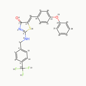 O=C1N=C(NCc2ccc(C(F)(F)F)cc2)SC1=Cc1ccc(Oc2ccccc2)cc1